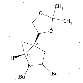 CC1(C)OCC([C@@]23CC(C(C)(C)C)N(C(C)(C)C)[C@@H]2C3)O1